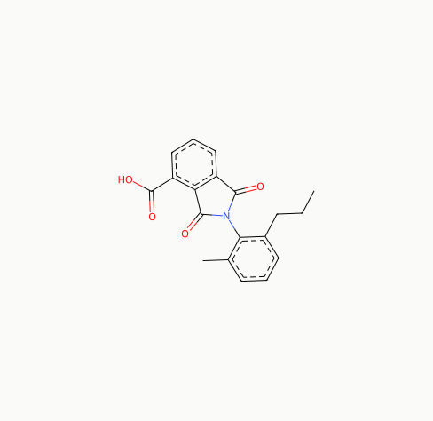 CCCc1cccc(C)c1N1C(=O)c2cccc(C(=O)O)c2C1=O